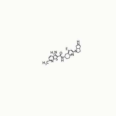 Cc1ccc2c(N)c(C(=O)NC3CCc4nc(N5CCC6CNCC65)cc(F)c4C3)sc2n1